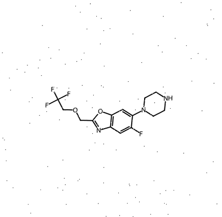 Fc1cc2nc(COCC(F)(F)F)oc2cc1N1CCNCC1